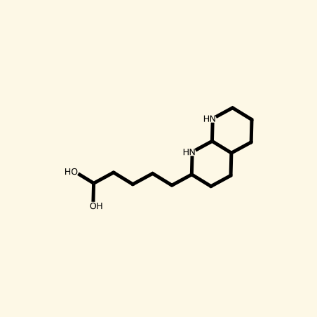 OC(O)CCCCC1CCC2CCCNC2N1